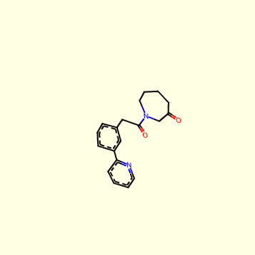 O=C1[CH]CCCN(C(=O)Cc2cccc(-c3ccccn3)c2)C1